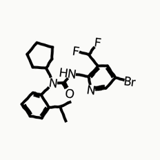 CC(C)c1ccccc1N(C(=O)Nc1ncc(Br)cc1C(F)F)C1CCCCC1